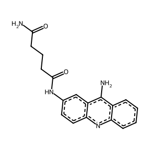 NC(=O)CCCC(=O)Nc1ccc2nc3ccccc3c(N)c2c1